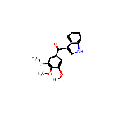 COc1cc(C(=O)c2c[nH]c3ccccc23)cc(OC)c1OC